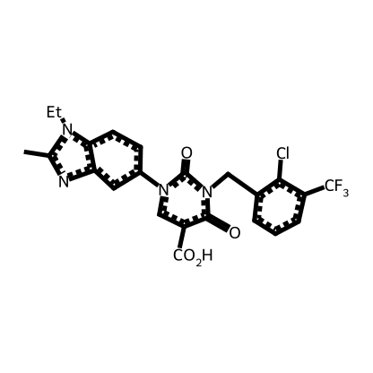 CCn1c(C)nc2cc(-n3cc(C(=O)O)c(=O)n(Cc4cccc(C(F)(F)F)c4Cl)c3=O)ccc21